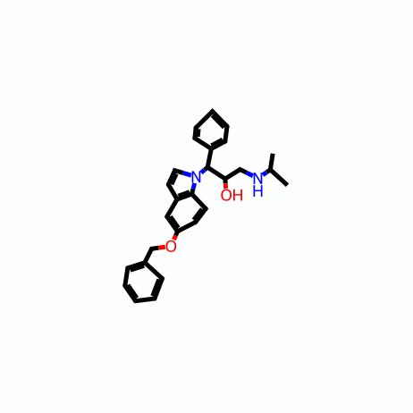 CC(C)NCC(O)C(c1ccccc1)n1ccc2cc(OCc3ccccc3)ccc21